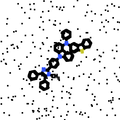 Cn1c(-c2ccc(-n3c4ccccc4c4c(N(c5ccccc5)c5ccc6sc7ccccc7c6c5)cccc43)cc2)nc(-c2ccccc2)c1-c1ccccc1